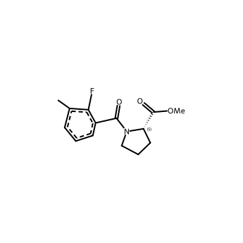 COC(=O)[C@@H]1CCCN1C(=O)c1cccc(C)c1F